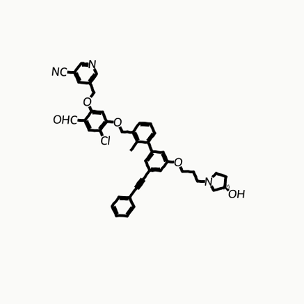 Cc1c(COc2cc(OCc3cncc(C#N)c3)c(C=O)cc2Cl)cccc1-c1cc(C#Cc2ccccc2)cc(OCCCN2CC[C@@H](O)C2)c1